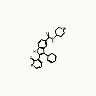 O=C(NC1CCNCC1)c1ccc2[nH]c(-c3ccc[nH]c3=O)c(C3C=CC=CC3)c2c1